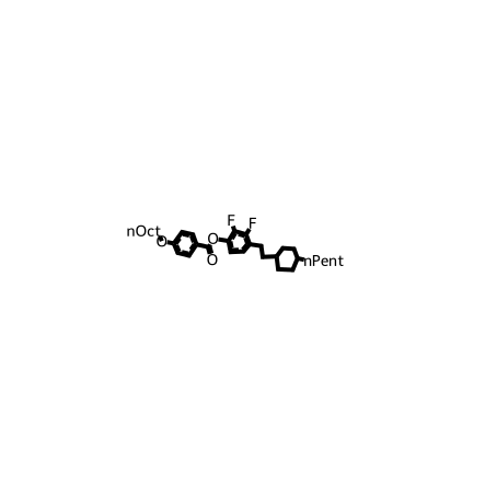 CCCCCCCCOc1ccc(C(=O)Oc2ccc(CCC3CCC(CCCCC)CC3)c(F)c2F)cc1